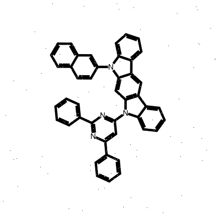 c1ccc(-c2cc(-n3c4ccccc4c4cc5c6ccccc6n(-c6ccc7ccccc7c6)c5cc43)nc(-c3ccccc3)n2)cc1